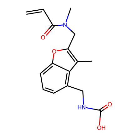 C=CC(=O)N(C)Cc1oc2cccc(CNC(=O)O)c2c1C